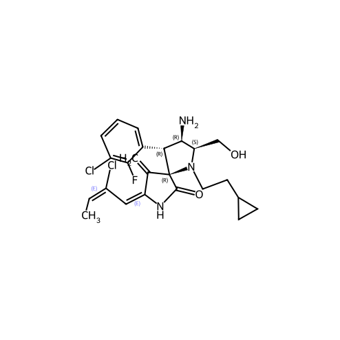 C=C1/C(=C\C(Cl)=C/C)NC(=O)[C@@]12[C@H](c1cccc(Cl)c1F)[C@@H](N)[C@@H](CO)N2CCC1CC1